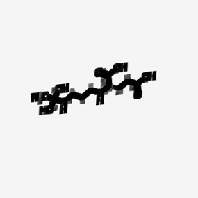 CC(O)(O)NCCCN[C@@H](CCC(=O)O)C(=O)O